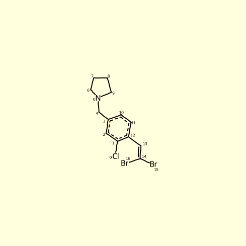 Clc1cc(CN2CCCC2)ccc1C=C(Br)Br